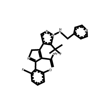 C=C(CCC)C1=C(c2cnn(NCc3ccncc3)c2C(C)(C)F)CN=C1c1c(F)cccc1Cl